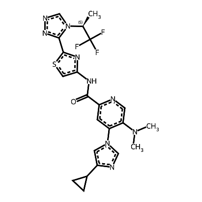 C[C@H](n1cnnc1-c1nc(NC(=O)c2cc(-n3cnc(C4CC4)c3)c(N(C)C)cn2)cs1)C(F)(F)F